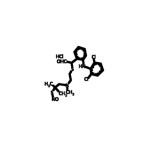 CN(CCSC(C=O)c1ccccc1Nc1c(Cl)cccc1Cl)CC(C)(C)SN=O.Cl